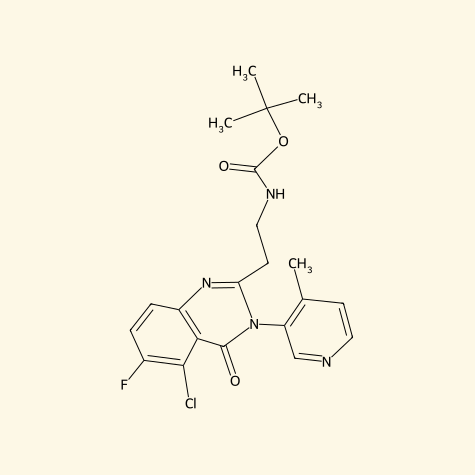 Cc1ccncc1-n1c(CCNC(=O)OC(C)(C)C)nc2ccc(F)c(Cl)c2c1=O